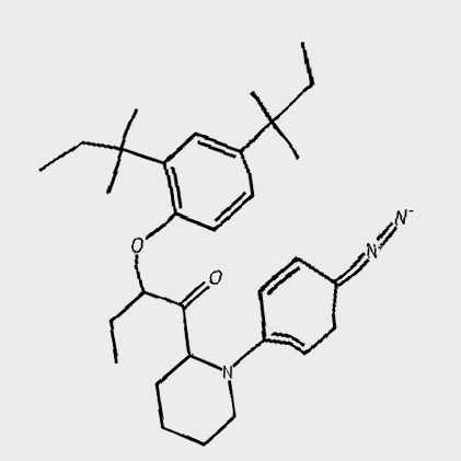 CCC(Oc1ccc(C(C)(C)CC)cc1C(C)(C)CC)C(=O)C1CCCCN1C1=CCC(=[N+]=[N-])C=C1